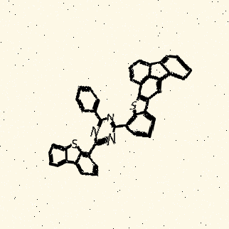 c1ccc(-c2nc(-c3cccc4c3sc3ccccc34)nc(-c3cccc4c3sc3c5cccc6c5c(cc43)-c3ccccc3-6)n2)cc1